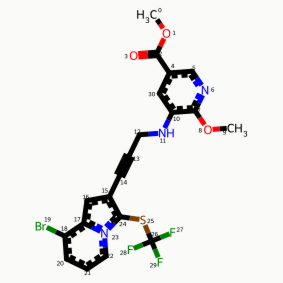 COC(=O)c1cnc(OC)c(NCC#Cc2cc3c(Br)cccn3c2SC(F)(F)F)c1